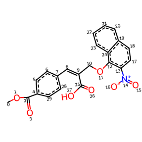 COC(=O)c1ccc(C=C(COc2c([N+](=O)[O-])ccc3ccccc23)C(=O)O)cc1